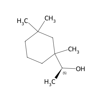 C[C@H](O)C1(C)CCCC(C)(C)C1